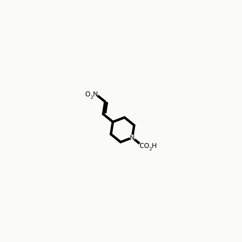 O=C(O)N1CCC(C=C[N+](=O)[O-])CC1